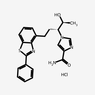 C[C@H](O)[C@@H](CCc1cccc2sc(-c3ccccc3)nc12)n1cnc(C(N)=O)c1.Cl